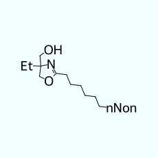 CCCCCCCCCCCCCCCC1=NC(CC)(CO)CO1